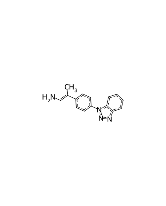 C/C(=C\N)c1ccc(-n2nnc3ccccc32)cc1